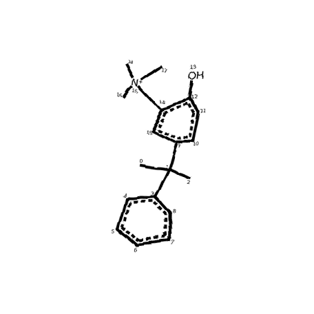 CC(C)(c1ccccc1)c1ccc(O)c([N+](C)(C)C)c1